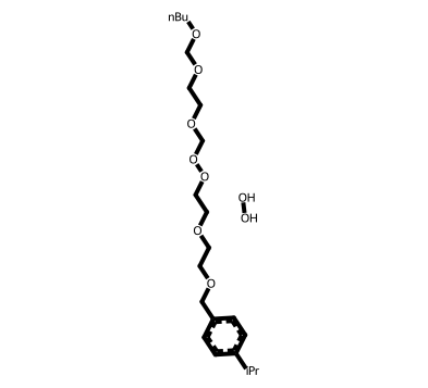 CCCCOCOCCOCOOCCOCCOCc1ccc(C(C)C)cc1.OO